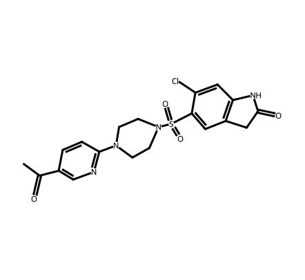 CC(=O)c1ccc(N2CCN(S(=O)(=O)c3cc4c(cc3Cl)NC(=O)C4)CC2)nc1